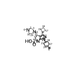 CN1CCN(Cc2cc(C(=O)O)nc3c2c(C2CCC2)nn3-c2ccc(F)cc2)CC1